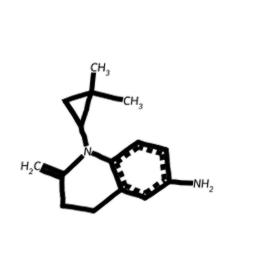 C=C1CCc2cc(N)ccc2N1C1CC1(C)C